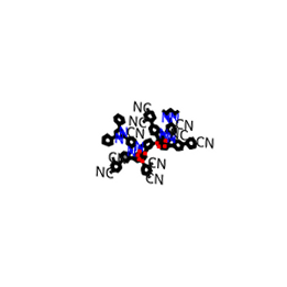 Cc1cc(C)nc(-c2cc(-n3c4cc(-c5ccc(C#N)cc5C#N)ccc4c4c(-c5ccc6c(c5)c5cc(-c7ccc(C#N)cc7C#N)ccc5n6-c5cc(C#N)c(-c6nc(-c7ccccc7)cc(-c7ccccc7)n6)cc5-n5c6ccccc6c6cc(-c7ccc(C#N)cc7C#N)ccc65)cccc43)c(-n3c4ccccc4c4ccc(-c5ccc(C#N)cc5C#N)cc43)cc2C#N)n1